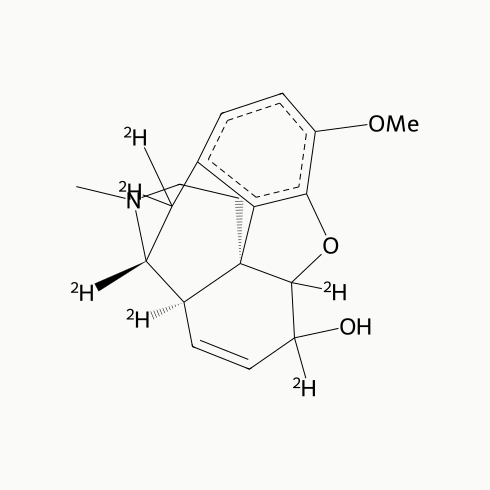 [2H]C1(O)C=C[C@]2([2H])[C@@]34CCN(C)[C@]2([2H])C([2H])([2H])c2ccc(OC)c(c23)OC14[2H]